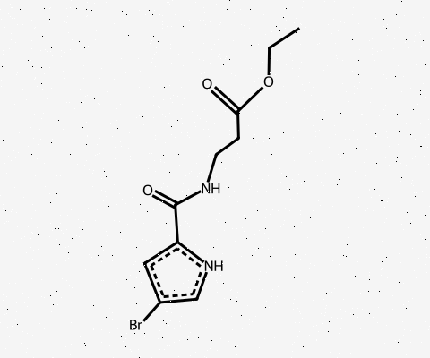 CCOC(=O)CCNC(=O)c1cc(Br)c[nH]1